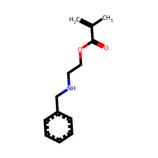 C=C(C)C(=O)OCCNCc1ccccc1